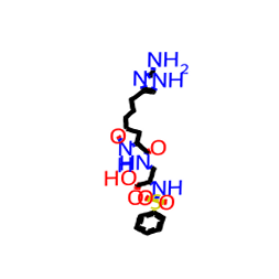 Nc1nc(CCCC2CC(C(=O)NCC(NS(=O)(=O)c3ccccc3)C(=O)O)NO2)c[nH]1